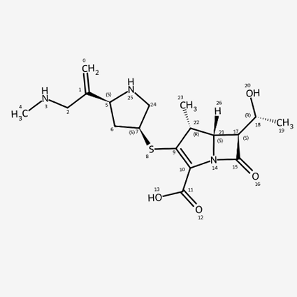 C=C(CNC)[C@@H]1C[C@H](SC2=C(C(=O)O)N3C(=O)[C@H]([C@@H](C)O)[C@H]3[C@H]2C)CN1